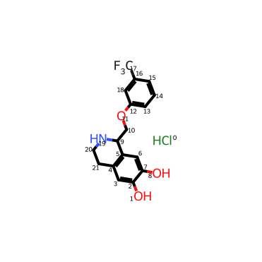 Cl.Oc1cc2c(cc1O)C(COc1cccc(C(F)(F)F)c1)NCC2